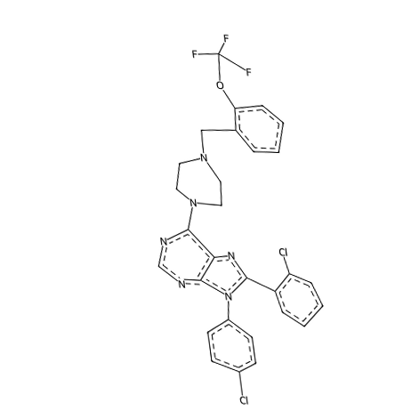 FC(F)(F)Oc1ccccc1CN1CCN(c2ncnc3c2nc(-c2ccccc2Cl)n3-c2ccc(Cl)cc2)CC1